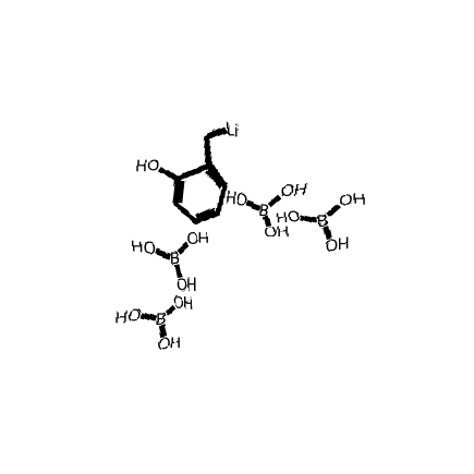 OB(O)O.OB(O)O.OB(O)O.OB(O)O.[Li][CH2]c1ccccc1O